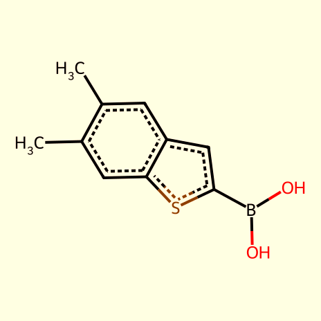 Cc1cc2cc(B(O)O)sc2cc1C